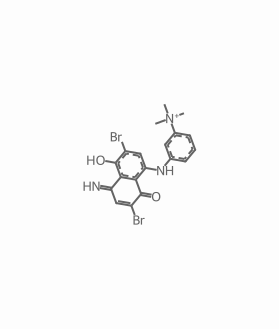 C[N+](C)(C)c1cccc(Nc2cc(Br)c(O)c3c2C(=O)C(Br)=CC3=N)c1